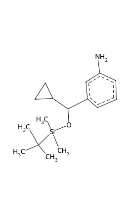 CC(C)(C)[Si](C)(C)OC(c1cccc(N)c1)C1CC1